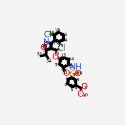 COC(=O)c1cccc(S(=O)(=O)Nc2ccc(OCc3c(-c4c(Cl)cccc4Cl)noc3C(C)C)cc2C)c1